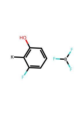 FB(F)F.Oc1cccc(F)[c]1[K]